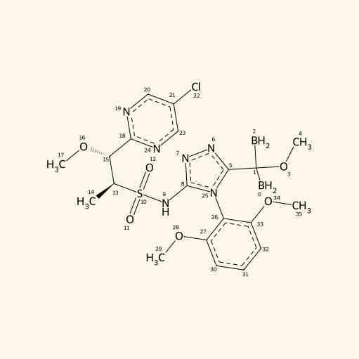 BC(B)(OC)c1nnc(NS(=O)(=O)[C@@H](C)[C@H](OC)c2ncc(Cl)cn2)n1-c1c(OC)cccc1OC